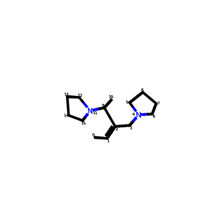 CC=C(CN1CCCC1)C(C)N1CCCC1